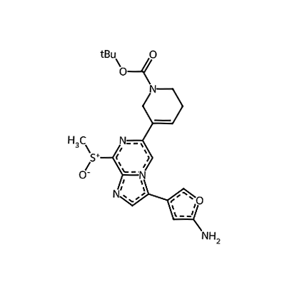 C[S+]([O-])c1nc(C2=CCCN(C(=O)OC(C)(C)C)C2)cn2c(-c3coc(N)c3)cnc12